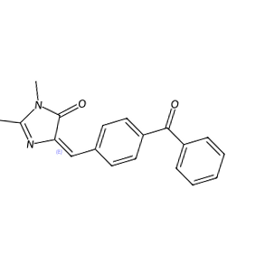 CC1=N/C(=C/c2ccc(C(=O)c3ccccc3)cc2)C(=O)N1C